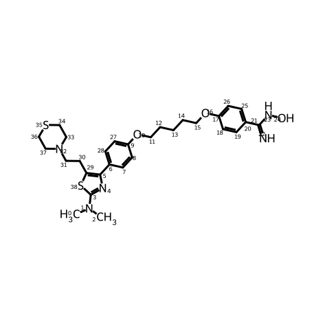 CN(C)c1nc(-c2ccc(OCCCCCOc3ccc(C(=N)NO)cc3)cc2)c(CCN2CCSCC2)s1